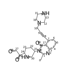 Cc1nc2cccc(C#CCN3CCNCC3)c2c(=O)n1C1CCC(C(=O)C=O)NC1